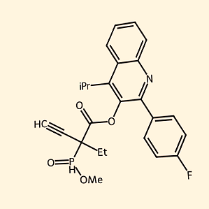 C#CC(CC)(C(=O)Oc1c(-c2ccc(F)cc2)nc2ccccc2c1C(C)C)[PH](=O)OC